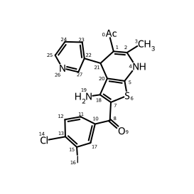 CC(=O)C1=C(C)Nc2sc(C(=O)c3ccc(Cl)c(I)c3)c(N)c2C1c1cccnc1